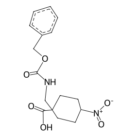 O=C(NCC1(C(=O)O)CCC([N+](=O)[O-])CC1)OCc1ccccc1